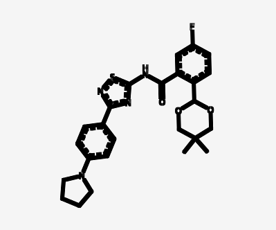 CC1(C)COC(c2ccc(F)cc2C(=O)Nc2nc(-c3ccc(N4CCCC4)cc3)ns2)OC1